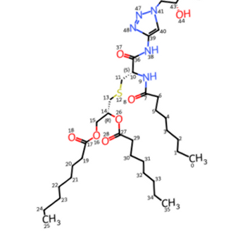 CCCCCCCC(=O)N[C@H](CSC[C@@H](COC(=O)CCCCCCC)OC(=O)CCCCCCC)C(=O)Nc1cn(C[C@@H](O)CO)nn1